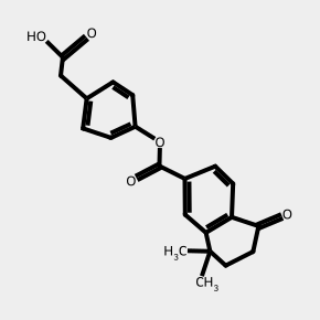 CC1(C)CCC(=O)c2ccc(C(=O)Oc3ccc(CC(=O)O)cc3)cc21